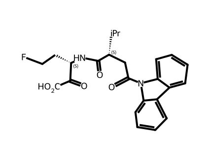 CC(C)[C@H](CC(=O)n1c2ccccc2c2ccccc21)C(=O)N[C@@H](CCF)C(=O)C(=O)O